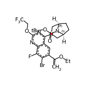 C=C(OCC)c1cc2c(N3C[C@H]4CC[C@@H](C3)N4C(=O)OC(C)(C)C)nc(OCC(F)(F)F)nc2c(F)c1Br